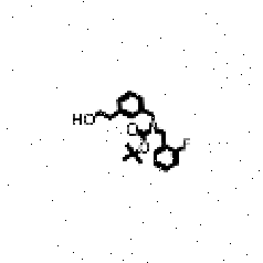 CC(C)(C)OC(=O)N(Cc1cccc(CCO)c1)Cc1ccccc1F